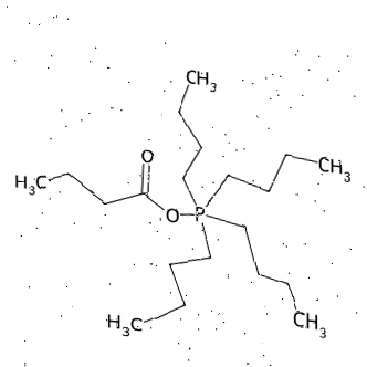 CCCCP(CCCC)(CCCC)(CCCC)OC(=O)CCC